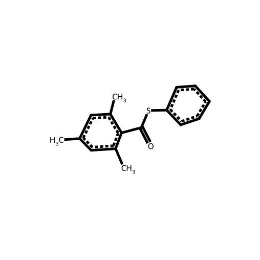 Cc1cc(C)c(C(=O)Sc2ccccc2)c(C)c1